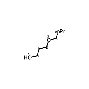 CCCCO[CH]CCO